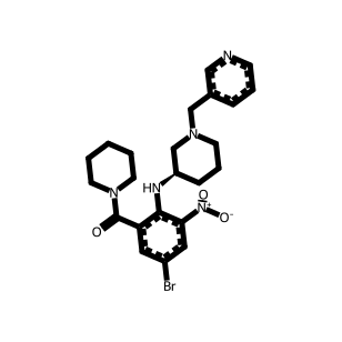 O=C(c1cc(Br)cc([N+](=O)[O-])c1N[C@@H]1CCCN(Cc2cccnc2)C1)N1CCCCC1